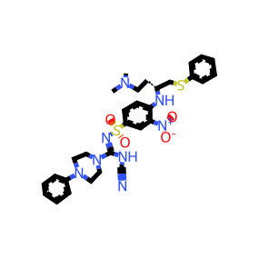 CN(C)CC[C@H](CSc1ccccc1)Nc1ccc(S(=O)(=O)/N=C(\NC#N)N2CCN(c3ccccc3)CC2)cc1[N+](=O)[O-]